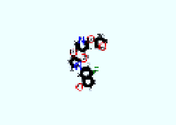 O=C1CCc2c(F)cc(N3CC[C@@H](Oc4ccc(O[C@H]5CCOC5)nc4)C3=O)cc21